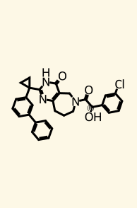 O=C([C@H](O)c1cccc(Cl)c1)N1CCCc2nc(C3(c4cccc(-c5ccccc5)c4)CC3)[nH]c(=O)c2C1